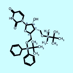 CC(C)(C)[Si](C)(C)OC[C@H]1[C@@H](O)[C@H](n2ccc(=O)[nH]c2=O)O[C@@H]1CO[Si](c1ccccc1)(C1C=CC=CC1)C(C)(C)C